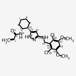 C=CC(=O)N[C@@H]1CCCC[C@H]1c1cc(NCc2c(Cl)c(OC)cc(OC)c2Cl)n[nH]1